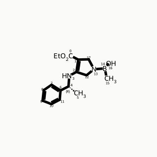 CCOC(=O)C1=C(N[C@H](C)c2ccccc2)CN(B(C)O)C1